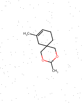 CC1=CCCC2(COC(C)OC2)C1